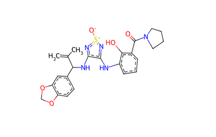 C=C(C)C(Nc1n[s+]([O-])nc1Nc1cccc(C(=O)N2CCCC2)c1O)c1ccc2c(c1)OCO2